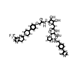 Cc1ncsc1-c1ccc(CNC(=O)[C@@H]2CCCN2C(=O)C(NC(=O)CC2O[C@H](CNC(=O)COc3ccc(C4CCN(C5=Nn6c(nnc6C(F)(F)F)CC5)CC4)cc3)[C@@H](O)[C@H]2O)C(C)(C)C)cc1